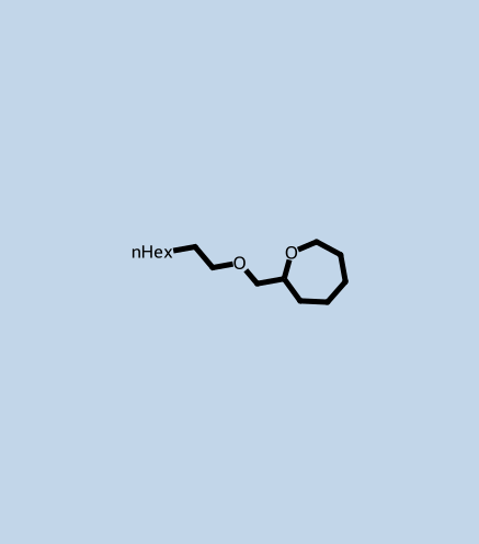 CCCCCCCCOCC1CCCCCO1